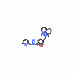 Br.CC1(NCc2ccc(CNCc3ccccn3)cc2)CCCc2cccnc21